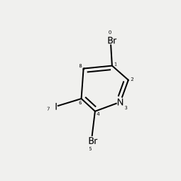 Brc1cnc(Br)c(I)c1